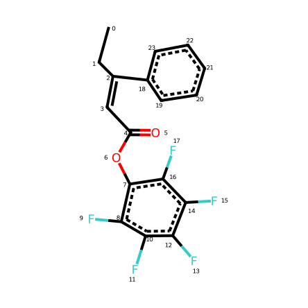 CCC(=CC(=O)Oc1c(F)c(F)c(F)c(F)c1F)c1ccccc1